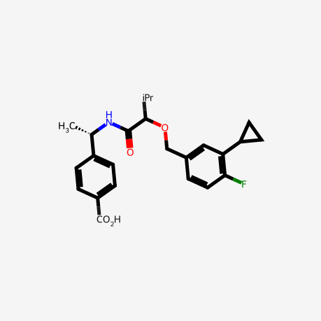 CC(C)C(OCc1ccc(F)c(C2CC2)c1)C(=O)N[C@@H](C)c1ccc(C(=O)O)cc1